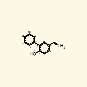 C=Cc1ccc(O)c(-c2ccccc2)c1